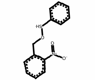 O=[N+]([O-])c1ccccc1CO[SiH]c1ccccc1